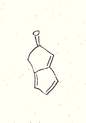 O=C1C=C2C=CC=C2C1